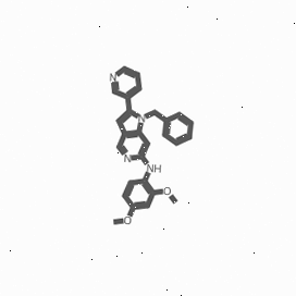 COc1ccc(Nc2cc3c(cn2)cc(-c2cccnc2)n3Cc2ccccc2)c(OC)c1